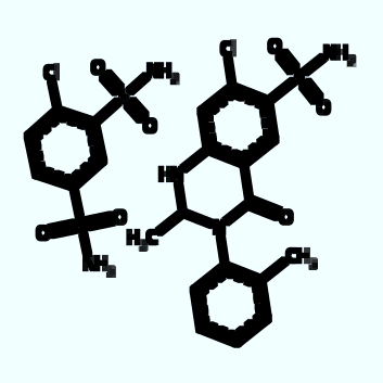 Cc1ccccc1N1C(=O)c2cc(S(N)(=O)=O)c(Cl)cc2NC1C.NS(=O)(=O)c1ccc(Cl)c(S(N)(=O)=O)c1